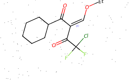 CCO/C=C(\C(=O)C1CCCCC1)C(=O)C(F)(F)Cl